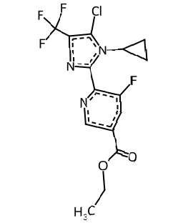 CCOC(=O)c1cnc(-c2nc(C(F)(F)F)c(Cl)n2C2CC2)c(F)c1